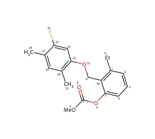 CCc1cccc(OC(=O)OC)c1COc1cc(F)c(C)cc1C